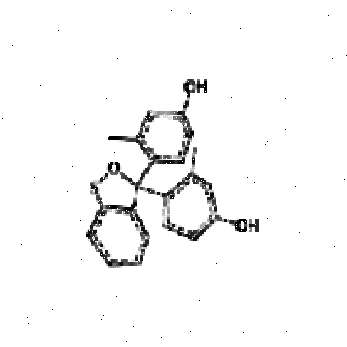 Cc1cc(O)ccc1C1(c2ccc(O)cc2C)OSc2ccccc21